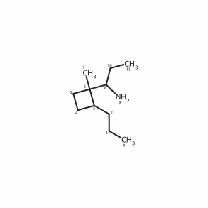 CCCC1CCC1(C)C(N)CC